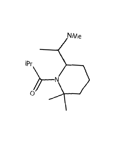 CNC(C)C1CCCC(C)(C)N1C(=O)C(C)C